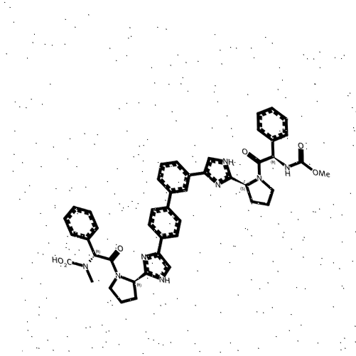 COC(=O)N[C@@H](C(=O)N1CCC[C@H]1c1nc(-c2cccc(-c3ccc(-c4c[nH]c([C@H]5CCCN5C(=O)[C@@H](c5ccccc5)N(C)C(=O)O)n4)cc3)c2)c[nH]1)c1ccccc1